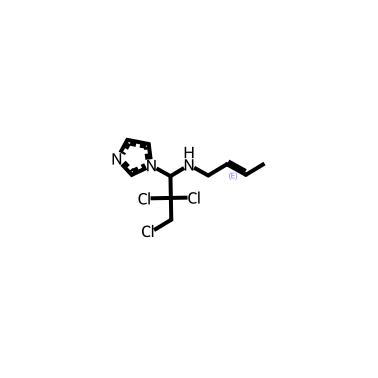 C/C=C/CNC(n1ccnc1)C(Cl)(Cl)CCl